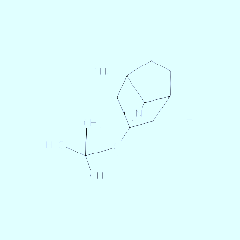 CC(C)(C)OC1C[C@H]2CC[C@@H](C1)C2N